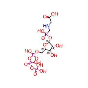 O=C(O)CNCP(=O)(O)O[C@H]1O[C@H](COP(=O)(O)OP(=O)(O)OP(=O)(O)O)[C@@H](O)[C@H]1O